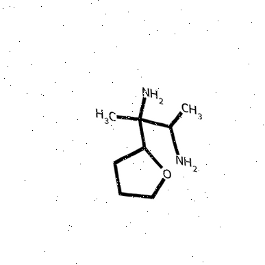 CC(N)C(C)(N)C1CCCO1